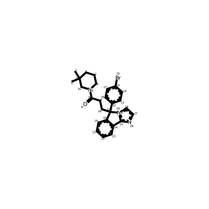 CC1(C)CCCN(C(=O)CCC2(c3ccc(Br)cc3)c3ccccc3-c3nccn32)C1